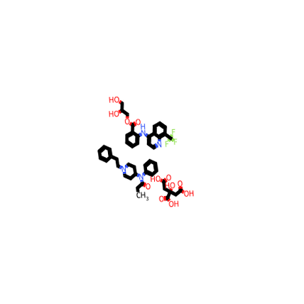 CCC(=O)N(c1ccccc1)C1CCN(CCc2ccccc2)CC1.O=C(O)CC(O)(CC(=O)O)C(=O)O.O=C(OCC(O)CO)c1ccccc1Nc1ccnc2c(C(F)(F)F)cccc12